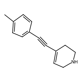 Cc1ccc(C#CC2=CCNCC2)cc1